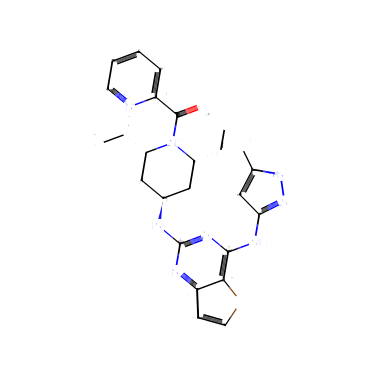 CC[C@@H]1C[C@@H](Nc2nc(Nc3cc(C)[nH]n3)c3sccc3n2)C[C@H](CC)N1C(=O)c1ccccn1